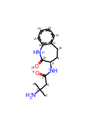 CC(C)(N)CC(=O)N[C@@H]1CCc2ccccc2NC1=O